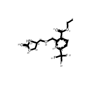 CCOC(=O)c1ccc(C(F)(F)F)nc1COCC1COC(=O)N1